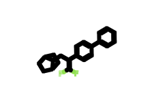 FC(F)=C(CC1C2CCC1CC2)c1ccc(-c2ccccc2)cc1